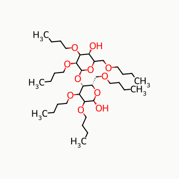 CCCCOCC1O[C@@H](O[C@H]2C(OCCCC)C(OCCCC)[C@H](O)O[C@H]2COCCCC)[C@@H](OCCCC)C(OCCCC)[C@H]1O